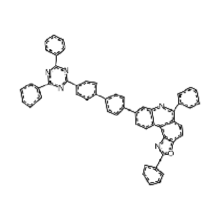 c1ccc(-c2nc(-c3ccccc3)nc(-c3ccc(-c4ccc(-c5ccc6c(c5)nc(-c5ccccc5)c5ccc7oc(-c8ccccc8)nc7c56)cc4)cc3)n2)cc1